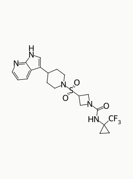 O=C(NC1(C(F)(F)F)CC1)N1CC(S(=O)(=O)N2CCC(c3c[nH]c4ncccc34)CC2)C1